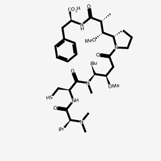 CC[C@H](C)[C@@H]([C@@H](CC(=O)N1CCC[C@H]1[C@H](OC)[C@@H](C)C(=O)N[C@@H](Cc1ccccc1)C(=O)O)OC)N(C)C(=O)[C@H](CS)NC(=O)[C@H](C(C)C)N(C)C